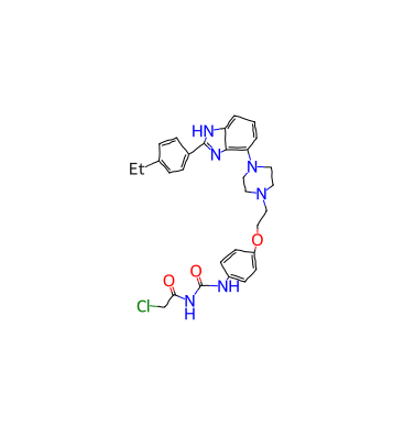 CCc1ccc(-c2nc3c(N4CCN(CCOc5ccc(NC(=O)NC(=O)CCl)cc5)CC4)cccc3[nH]2)cc1